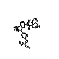 CS[C@@]1(C(=O)Nc2ccc3c(c2)C(c2ccc(OC(C)C)nc2)NN3)CCNC1